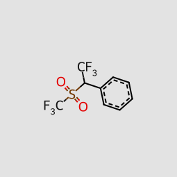 O=S(=O)(C(c1ccccc1)C(F)(F)F)C(F)(F)F